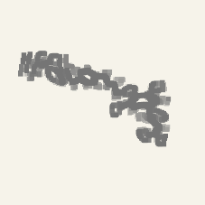 CC(C)(C)ON=Cc1ccc(CCCCOc2c(Cl)cc(OCC=C(Cl)Cl)cc2Cl)cc1